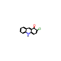 Cn1c2ccc(Cl)c(=O)c-2cc2ccccc21